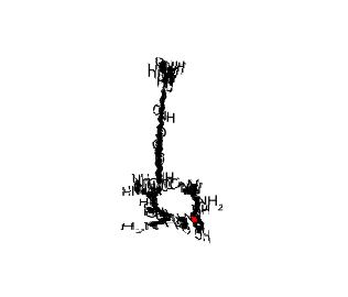 CC(O)[C@@H]1NC(=O)[C@H](CCCCN)NC(=O)[C@H](CC(=O)O)NC(=O)[C@H](Cc2ccc(O)cc2)NC(=O)[C@@H](N)Cc2cn(nn2)CCCC[C@@H](C(=O)NCCCOCCOCCOCCCNC(=O)CCCC[C@H]2SC[C@H]3NC(=O)N[C@H]32)NC(=O)[C@H](CCCNC(=N)N)NC1=O